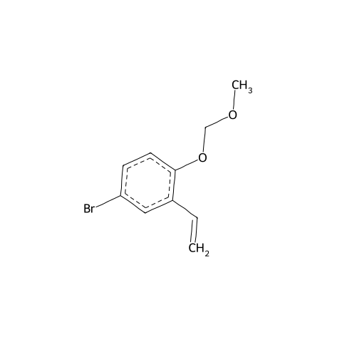 C=Cc1cc(Br)ccc1OCOC